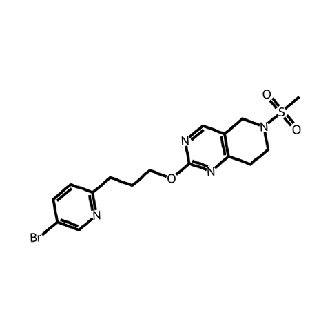 CS(=O)(=O)N1CCc2nc(OCCCc3ccc(Br)cn3)ncc2C1